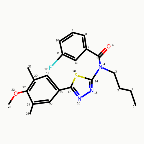 CCCCN(C(=O)c1cccc(F)c1)c1nnc(-c2cc(C)c(OC)c(C)c2)s1